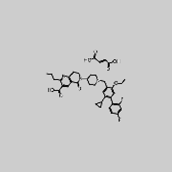 CCCc1nc2c(cc1C(=O)O)C(=O)N(C1CCN(Cc3cc(C4CC4)c(-c4ccc(F)cc4F)cc3OCC)CC1)CC2.O=C(O)C=CC(=O)O